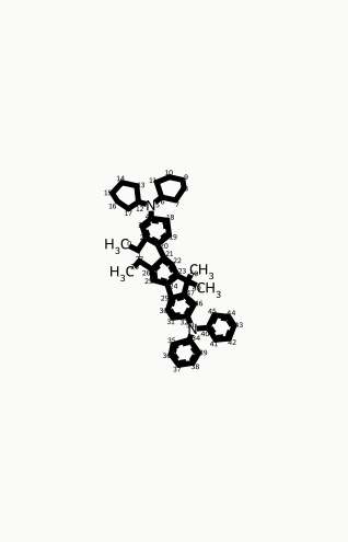 CCc1cc(N(C2CCCCC2)C2CCCCC2)ccc1-c1cc2c(cc1CC)-c1ccc(N(c3ccccc3)c3ccccc3)cc1C2(C)C